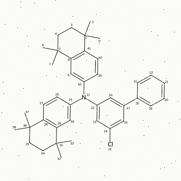 CC1(C)CCC(C)(C)c2cc(N(c3cc(Cl)cc(-c4ccccc4)c3)c3ccc4c(c3)C(C)(C)CCC4(C)C)ccc21